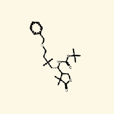 CC(C)(CCOCc1ccccc1)C[C@H](NC(=O)OC(C)(C)C)C1COC(=O)C1(C)C